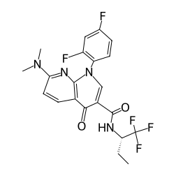 CC[C@H](NC(=O)c1cn(-c2ccc(F)cc2F)c2nc(N(C)C)ccc2c1=O)C(F)(F)F